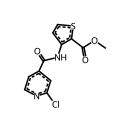 COC(=O)c1sccc1NC(=O)c1ccnc(Cl)c1